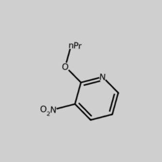 CCCOc1ncccc1[N+](=O)[O-]